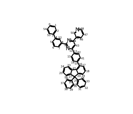 c1ccc(-c2cccc(-c3nc(-c4ccc(-c5cccc6c5-c5ccccc5C6(c5ccccc5)c5ccccc5)cc4)cc(-c4cccnc4)n3)c2)cc1